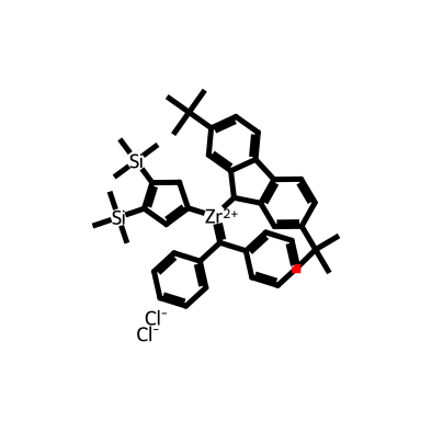 CC(C)(C)c1ccc2c(c1)[CH]([Zr+2]([C]1=CC([Si](C)(C)C)=C([Si](C)(C)C)C1)=[C](c1ccccc1)c1ccccc1)c1cc(C(C)(C)C)ccc1-2.[Cl-].[Cl-]